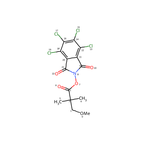 COCC(C)(C)C(=O)ON1C(=O)c2c(Cl)c(Cl)c(Cl)c(Cl)c2C1=O